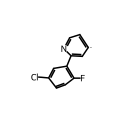 Fc1ccc(Cl)cc1-c1c[c]ccn1